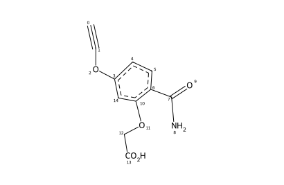 C#COc1ccc(C(N)=O)c(OCC(=O)O)c1